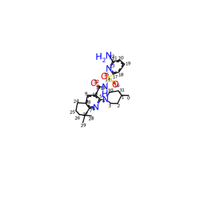 CC1CCN(c2nc3c(cc2C(=O)NS(=O)(=O)c2cccc(N)n2)CCCC3(C)C)CC1